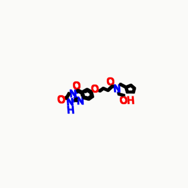 O=C1Cn2c(nc3ccc(OCCCC(=O)N(CCO)CC4CCCC4)cc3c2=O)N1